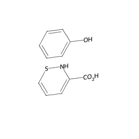 O=C(O)C1=CC=CSN1.Oc1ccccc1